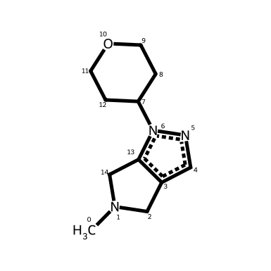 CN1Cc2cnn(C3CCOCC3)c2C1